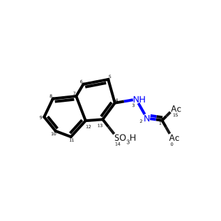 CC(=O)C(=NNc1ccc2ccccc2c1S(=O)(=O)O)C(C)=O